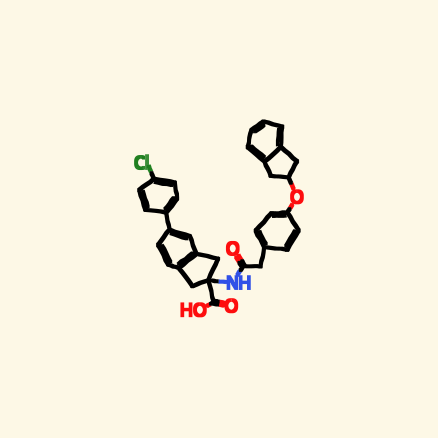 O=C(Cc1ccc(OC2Cc3ccccc3C2)cc1)NC1(C(=O)O)Cc2ccc(-c3ccc(Cl)cc3)cc2C1